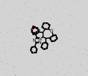 c1ccc(-c2nc(-c3ccccn3)n(C3C(c4ccccc4)c4ccccc4Oc4ccccc4C3c3ccccc3)n2)cc1